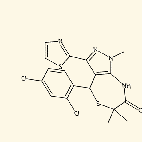 Cn1nc(-c2nccs2)c2c1NC(=O)C(C)(C)SC2c1ccc(Cl)cc1Cl